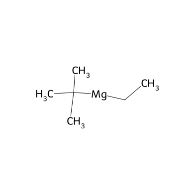 C[CH2][Mg][C](C)(C)C